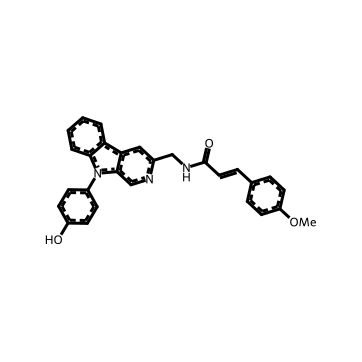 COc1ccc(/C=C/C(=O)NCc2cc3c4ccccc4n(-c4ccc(O)cc4)c3cn2)cc1